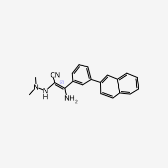 CN(C)N/C(C#N)=C(\N)c1cccc(-c2ccc3ccccc3c2)c1